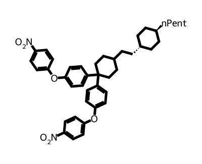 CCCCC[C@H]1CC[C@H](CCC2CCC(c3ccc(Oc4ccc([N+](=O)[O-])cc4)cc3)(c3ccc(Oc4ccc([N+](=O)[O-])cc4)cc3)CC2)CC1